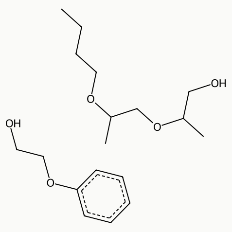 CCCCOC(C)COC(C)CO.OCCOc1ccccc1